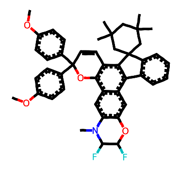 COc1ccc(C2(c3ccc(OC)cc3)C=Cc3c4c(c5cc6c(cc5c3O2)N(C)C(F)C(F)O6)-c2ccccc2C42CC(C)(C)CC(C)(C)C2)cc1